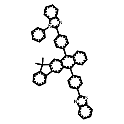 CC1(C)c2ccccc2-c2cc3c(-c4ccc(-c5nc6ccccc6s5)cc4)c4ccccc4c(-c4ccc(-c5nc6ccccc6n5-c5ccccc5)cc4)c3cc21